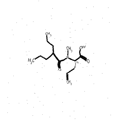 C=CC[C@@H](C(=O)O)N(C)C(=O)C(CCC)CCC